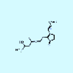 CCCCC/C=C/C1=C(CC=C=C(C)CC(O)C(=O)O)C(=O)CC1